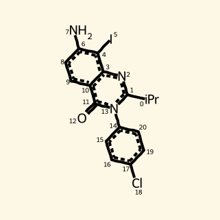 CC(C)c1nc2c(I)c(N)ccc2c(=O)n1-c1ccc(Cl)cc1